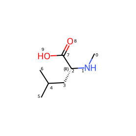 CN[C@H](CC(C)C)C(=O)O